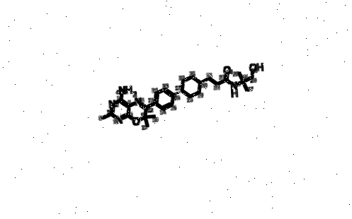 Cc1nc(N)c2c(n1)OC(C)(C)C(c1ccc([C@H]3CC[C@H](CCC(=O)NC(C)(C)CO)CC3)cc1)=N2